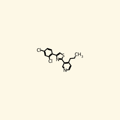 CCCc1ccncc1-c1nc(-c2ccc(Cl)cc2Cl)cs1